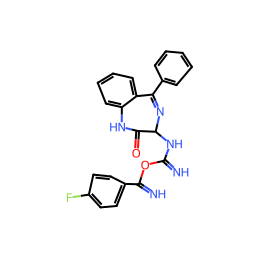 N=C(NC1N=C(c2ccccc2)c2ccccc2NC1=O)OC(=N)c1ccc(F)cc1